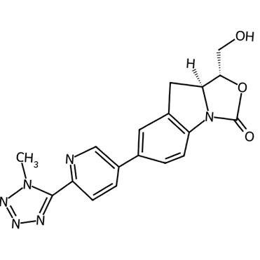 Cn1nnnc1-c1ccc(-c2ccc3c(c2)C[C@H]2[C@H](CO)OC(=O)N32)cn1